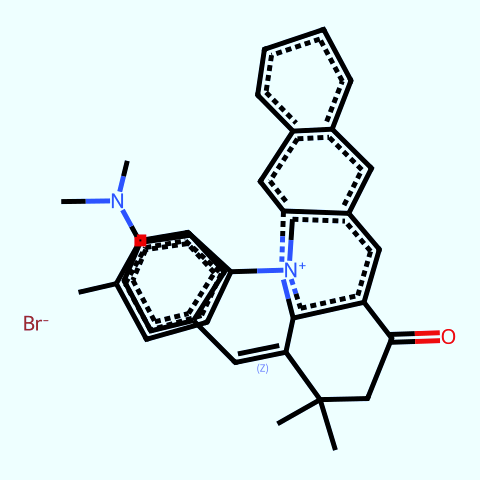 Cc1ccc(-[n+]2c3c(cc4cc5ccccc5cc42)C(=O)CC(C)(C)/C3=C/c2ccc(N(C)C)cc2)cc1.[Br-]